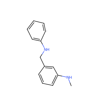 CNc1cccc(CNc2[c]cccc2)c1